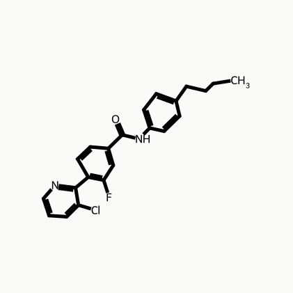 CCCCc1ccc(NC(=O)c2ccc(-c3ncccc3Cl)c(F)c2)cc1